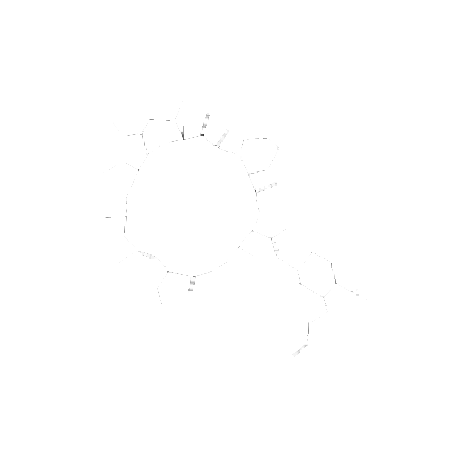 C=CCOC1CC(C=C(C)C2OC(=O)C3CCCCN3C(=O)C(=O)C3(O)OC(C(OC)CC(C)C/C(C)=C/C(CC)C(=O)CCC2C)C(OC)CC3C)CCC1N